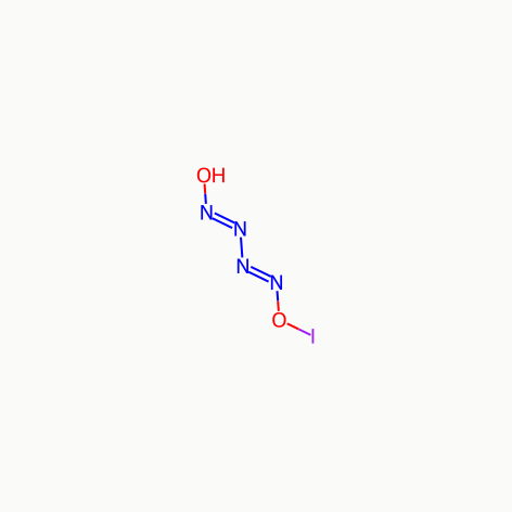 ON=NN=NOI